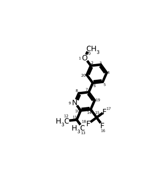 COc1cccc(-c2cnc(C(C)C)c(C(F)(F)F)c2)c1